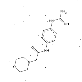 N=C(N)Nc1ccc(NC(=O)CN2CCOCC2)nc1